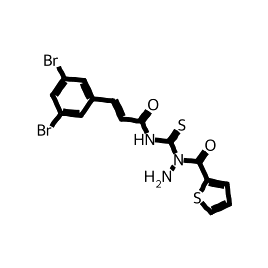 NN(C(=O)c1cccs1)C(=S)NC(=O)C=Cc1cc(Br)cc(Br)c1